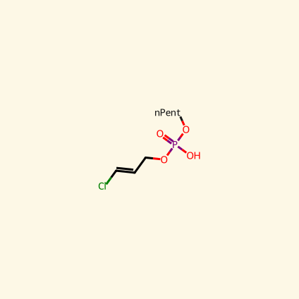 CCCCCOP(=O)(O)OCC=CCl